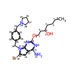 CCCC[C@@H](O)CCOc1nc(N)c2cc(Br)n(Cc3ccc(CN4CCCC4)cc3)c2n1